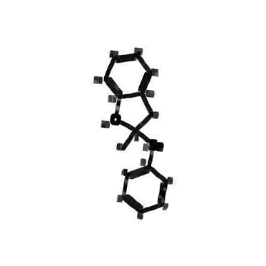 CC1([Se]c2ccccc2)Cc2ccccc2O1